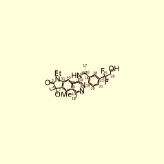 CCN1C(=O)C(C)(OC)c2cc3c(C)nnc(N[C@H](C)c4cccc(C(F)(F)CO)c4)c3cc21